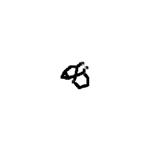 CC(C)C1CC2CC2C12OCCCN2C(C)C